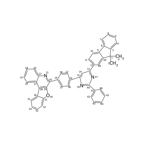 CC1(C)c2ccccc2-c2ccc(-c3cc(-c4ccc(-c5nc6ccccc6c6c5oc5ccccc56)cc4)nc(-c4ccccc4)n3)cc21